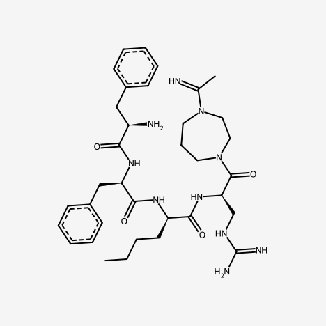 CCCC[C@@H](NC(=O)[C@@H](Cc1ccccc1)NC(=O)[C@H](N)Cc1ccccc1)C(=O)N[C@H](CNC(=N)N)C(=O)N1CCCN(C(C)=N)CC1